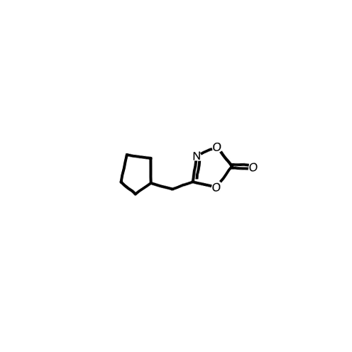 O=c1onc(CC2CCCC2)o1